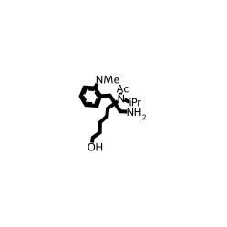 CNc1ccccc1CC(CN)(CCCCCO)N(C(C)=O)C(C)C